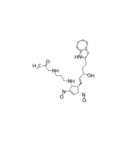 CC(=O)CNCCCN[C@H]1C(N=O)=C[C@@H](N=O)[C@@H]1/C=C/C(O)CCc1cc2ccccc2[nH]1